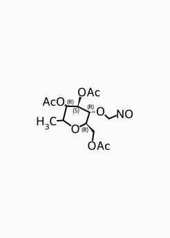 CC(=O)OC[C@H]1OC(C)[C@@H](OC(C)=O)[C@@H](OC(C)=O)[C@@H]1OCN=O